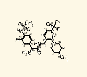 CC1CCN(c2nc(C(F)(F)Cl)ccc2CNC(=O)C(C)c2ccc(NS(C)(=O)=O)c(F)c2)CC1